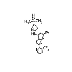 CC(C)c1cc(Nc2ccc(C(C)(C)O)cn2)c2ccc(-c3ncccc3C(F)(F)F)nc2n1